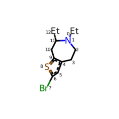 [CH2]CN1CCc2cc(Br)sc2CC1CC